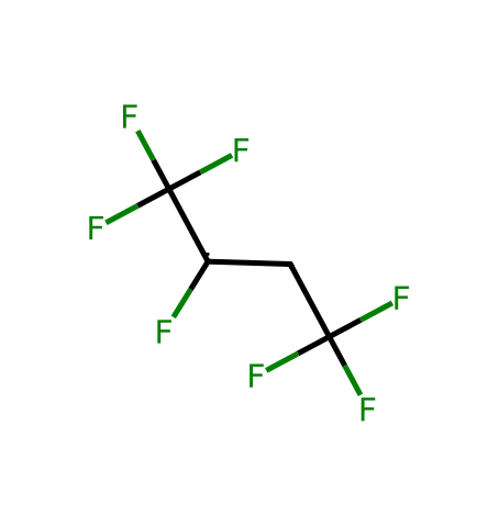 F[C](CC(F)(F)F)C(F)(F)F